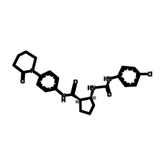 O=C(Nc1ccc(Cl)cc1)N[C@H]1CCC[C@H]1C(=O)Nc1ccc(N2CCCCC2=O)cc1